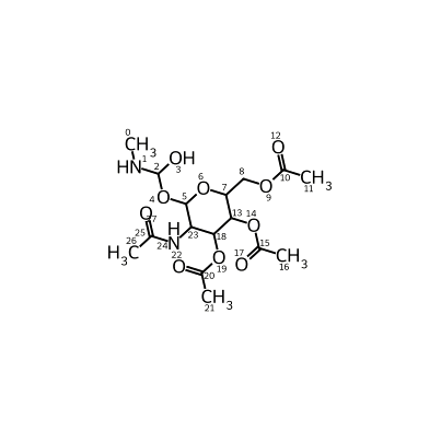 CNC(O)OC1OC(COC(C)=O)C(OC(C)=O)C(OC(C)=O)C1NC(C)=O